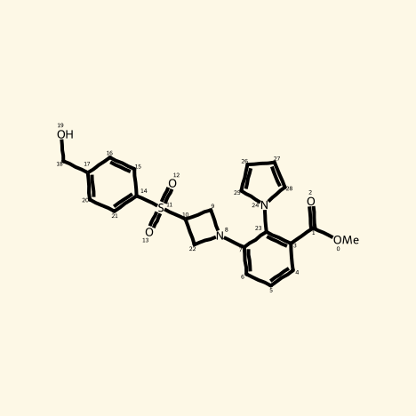 COC(=O)c1cccc(N2CC(S(=O)(=O)c3ccc(CO)cc3)C2)c1-n1cccc1